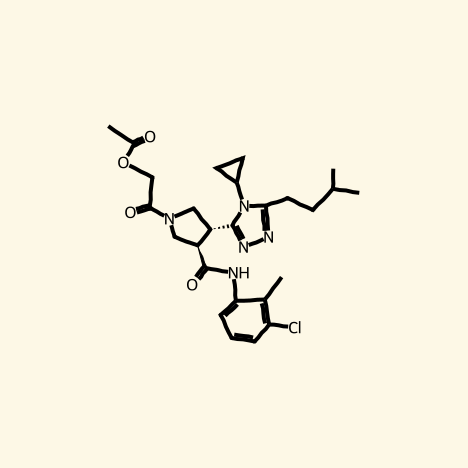 CC(=O)OCC(=O)N1C[C@H](C(=O)Nc2cccc(Cl)c2C)[C@@H](c2nnc(CCC(C)C)n2C2CC2)C1